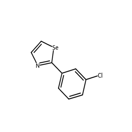 Clc1cccc(-c2ncc[se]2)c1